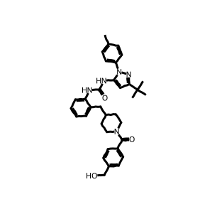 Cc1ccc(-n2nc(C(C)(C)C)cc2NC(=O)Nc2ccccc2CC2CCN(C(=O)c3ccc(CO)cc3)CC2)cc1